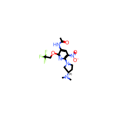 CC(=O)Nc1cc([N+](=O)[O-])c(N2CC[C@@H](N(C)C)C2)nc1OCC(F)(F)F